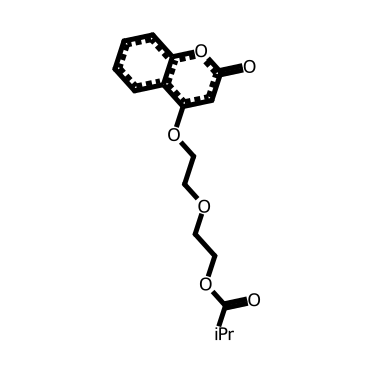 CC(C)C(=O)OCCOCCOc1cc(=O)oc2ccccc12